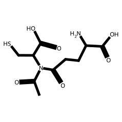 CC(=O)N(C(=O)CCC(N)C(=O)O)C(CS)C(=O)O